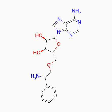 Nc1ncnc2c1ncn2[C@@H]1O[C@H](COCC(N)c2ccccc2)[C@@H](O)[C@H]1O